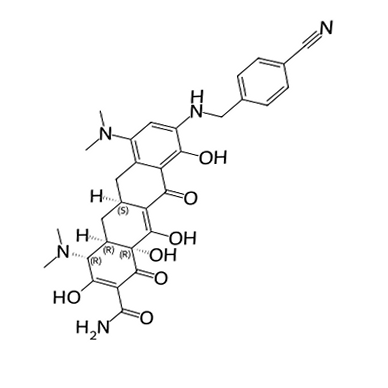 CN(C)c1cc(NCc2ccc(C#N)cc2)c(O)c2c1C[C@@H]1C[C@@H]3[C@@H](N(C)C)C(O)=C(C(N)=O)C(=O)[C@]3(O)C(O)=C1C2=O